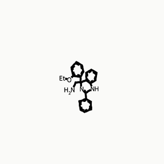 CCOc1ccccc1C1(CN)N=C(c2ccccc2)Nc2ccccc21